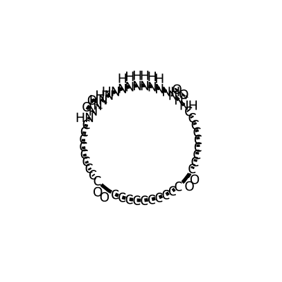 O=C1CCCCCCCCCCC(=O)C(=O)CCCCCCCCCN[N+](=O)[N+](=O)NNNNNNNNNN[N+](=O)[N+](=O)NCCCCCCCCCC1=O